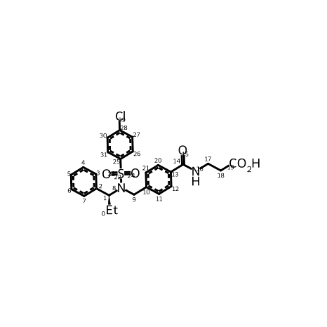 CC[C@@H](c1ccccc1)N(Cc1ccc(C(=O)NCCC(=O)O)cc1)S(=O)(=O)c1ccc(Cl)cc1